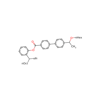 CCCCCCCCC(CCC)c1ccccc1OC(=O)c1ccc(-c2ccc(C(C)OCCCCCC)cc2)cc1